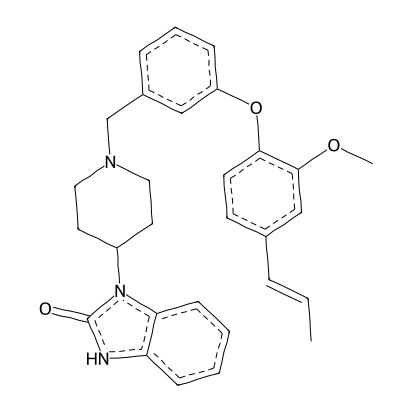 CC=Cc1ccc(Oc2cccc(CN3CCC(n4c(=O)[nH]c5ccccc54)CC3)c2)c(OC)c1